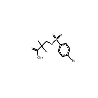 CCC(C)c1ccc(S(=O)(=O)OCC(C)(C(C)=O)C(=O)OC)cc1